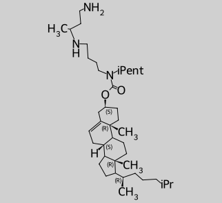 CCCC(C)N(CCCCNC(C)CCN)C(=O)O[C@H]1CC[C@@]2(C)C(=CC[C@H]3C4CCC([C@H](C)CCCC(C)C)[C@@]4(C)CCC32)C1